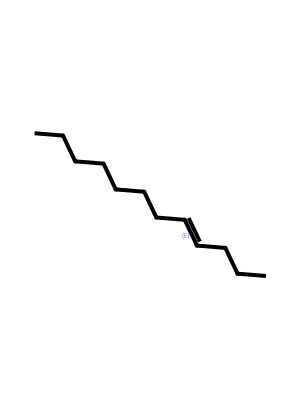 CCC/C=C/CCCCCCC